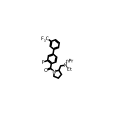 CCCN(CC)CC1CCCN1C(=O)c1ccc(-c2cccc(C(F)(F)F)c2)cc1F